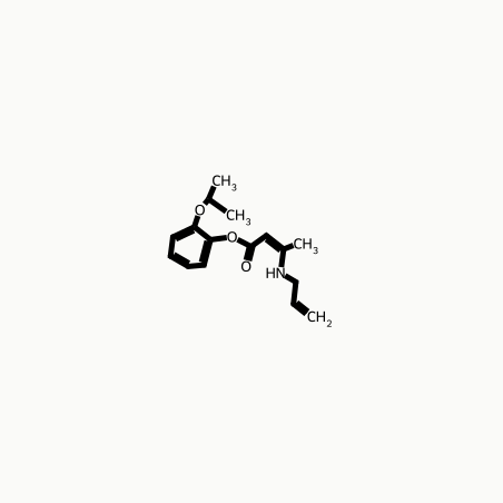 C=CCN/C(C)=C\C(=O)Oc1ccccc1OC(C)C